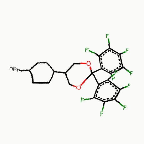 CCCC1CCC(C2COC(c3c(F)c(F)c(F)c(F)c3F)(c3c(F)c(F)c(F)c(F)c3F)OC2)CC1